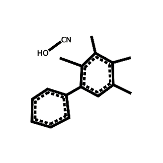 Cc1cc(-c2ccccc2)c(C)c(C)c1C.N#CO